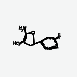 NC1=C(O)CC(c2cccc(F)c2)O1